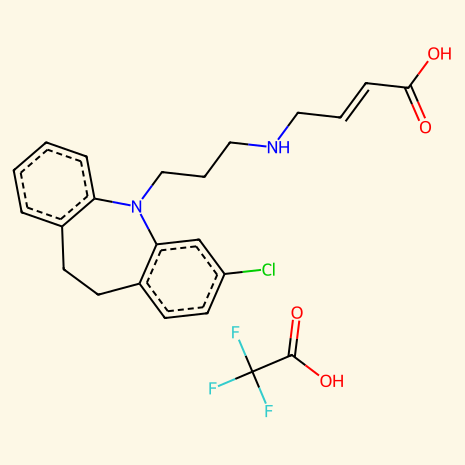 O=C(O)/C=C/CNCCCN1c2ccccc2CCc2ccc(Cl)cc21.O=C(O)C(F)(F)F